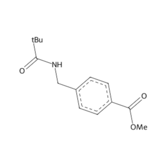 COC(=O)c1ccc(CNC(=O)C(C)(C)C)cc1